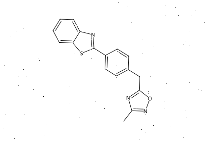 Cc1noc(Cc2ccc(-c3nc4ccccc4s3)cc2)n1